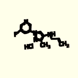 C=CCNc1cn(-c2cncc(F)c2)nc1C.Cl